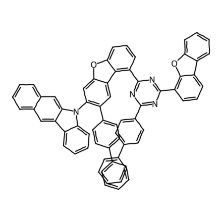 c1ccc(-c2ccc(-c3nc(-c4cccc5c4oc4ccccc45)nc(-c4cccc5oc6cc(-n7c8ccccc8c8cc9ccccc9cc87)c(-c7ccc(-c8ccccc8)cc7)cc6c45)n3)cc2)cc1